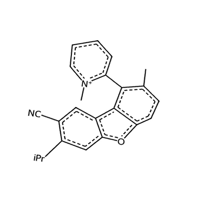 Cc1ccc2oc3cc(C(C)C)c(C#N)cc3c2c1-c1cccc[n+]1C